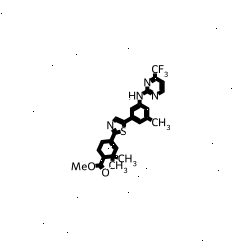 COC(=O)C1CCC(c2ncc(-c3cc(C)cc(Nc4nccc(C(F)(F)F)n4)c3)s2)=CC1(C)C